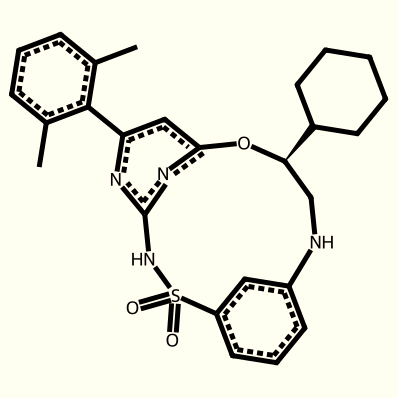 Cc1cccc(C)c1-c1cc2nc(n1)NS(=O)(=O)c1cccc(c1)NC[C@H](C1CCCCC1)O2